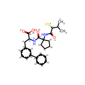 CC(C)C(S)C(=O)NC1(C(=O)NC(Cc2cccc(-c3ccccc3)c2)C(=O)O)CCCC1